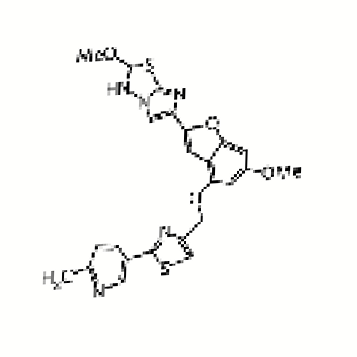 COc1cc(OCc2csc(-c3ccc(C)nc3)n2)c2cc(-c3cn4c(n3)SC(OC)N4)oc2c1